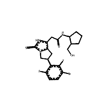 O=C(Cc1[nH]c(=S)n2c1CC(c1c(F)ccc(Br)c1F)C2)NC1CCCC1CO